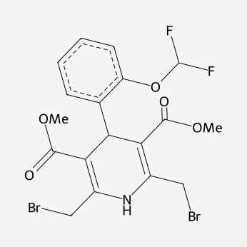 COC(=O)C1=C(CBr)NC(CBr)=C(C(=O)OC)C1c1ccccc1OC(F)F